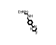 CCNC[C@H](C)NCc1ccc(-c2ncc(F)cn2)cc1